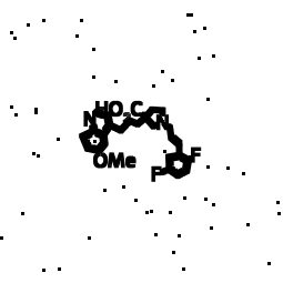 COc1ccc2nccc(CCCC3(C(=O)O)CCN(CC=Cc4cc(F)ccc4F)C3)c2c1